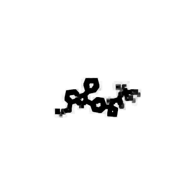 COC1=CC=CN2C1=NC(c1ccc(C3(NC(=O)OC(C)(C)C)CCC3)cc1)C2c1ccccc1